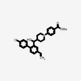 C=Cc1ccc(-c2ccc(Cl)cc2)c(C(O)C2CCN(c3ccc(C(=O)OC)cc3)CC2)c1